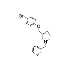 Brc1ccc(OCC2CN(Cc3ccccc3)CCO2)cc1